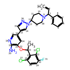 C=CC(c1ccccc1)N1CCC(n2cc(-c3cnc(N)c(OC(C)c4c(Cl)ccc(F)c4Cl)c3)cn2)CC1